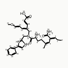 CC/C=C(\C=C(\C)CC[C@H](N)C(=O)N(CC(/C=C/C(=O)O)=C/C=C/OC)Cc1nc(-c2ccccc2)c[nH]1)C(N)=O